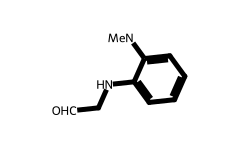 CNc1ccccc1NCC=O